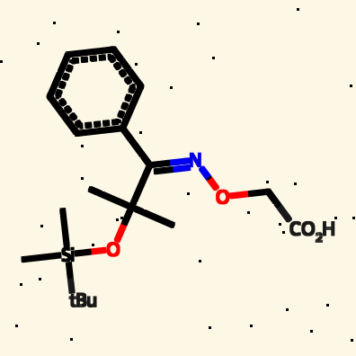 CC(C)(O[Si](C)(C)C(C)(C)C)C(=NOCC(=O)O)c1ccccc1